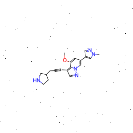 COc1cc(-c2cnn(C)c2)cn2ncc(C#CCC3CCNC3)c12